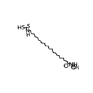 O=C(CCCCCCCCCCCCCCCCCCCCCNC(=S)S)NO